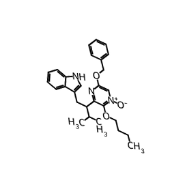 CCCCOc1c(C(Cc2c[nH]c3ccccc23)C(C)C)nc(OCc2ccccc2)c[n+]1[O-]